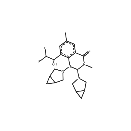 Cc1cc2c(c(C(O)C(F)F)c1)N(N1CC3CC3C1)C(N1CC3CC3C1)N(C)C2=O